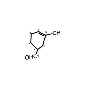 O=CC1CCC=C(O)C1